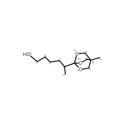 CC(CCCCO)C12OCC(C)(CO1)CO2